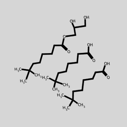 CC(C)(C)CCCCCC(=O)O.CC(C)(C)CCCCCC(=O)O.CC(C)(C)CCCCCC(=O)OCC(O)CO